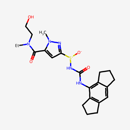 CCN(CCO)C(=O)c1cc([S+]([O-])NC(=O)Nc2c3c(cc4c2CCC4)CCC3)nn1C